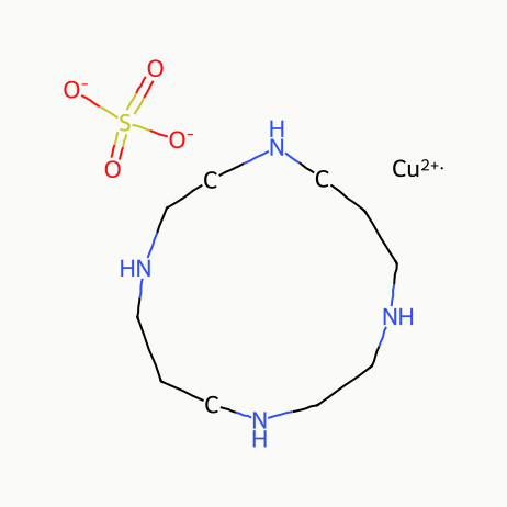 C1CNCCNCCCNCCNC1.O=S(=O)([O-])[O-].[Cu+2]